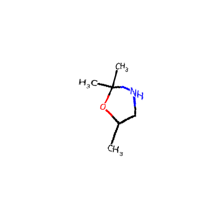 CC1CNC(C)(C)O1